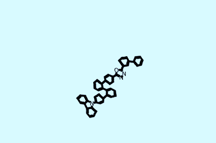 c1ccc(-c2cccc(-c3nnc(-c4ccc(-c5ccccc5-c5ccccc5-c5ccc(-n6c7ccccc7c7ccccc76)cc5)cc4)o3)c2)cc1